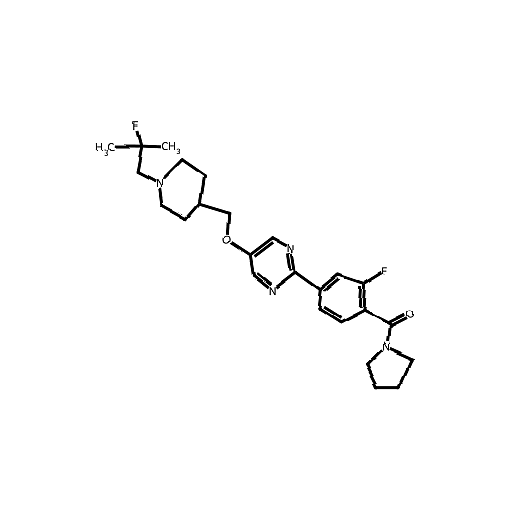 CC(C)(F)CN1CCC(COc2cnc(-c3ccc(C(=O)N4CCCC4)c(F)c3)nc2)CC1